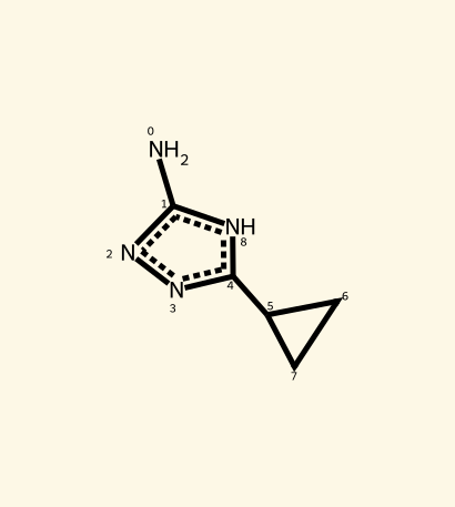 Nc1nnc(C2CC2)[nH]1